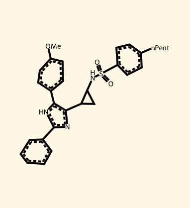 CCCCCc1ccc(S(=O)(=O)NC2CC2c2nc(-c3ccccc3)[nH]c2-c2ccc(OC)cc2)cc1